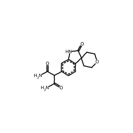 NC(=O)C(C(N)=O)c1ccc2c(c1)NC(=O)C21CCOCC1